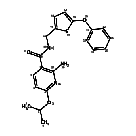 CC(C)Oc1ccc(C(=O)NCc2ccc(Oc3ccccc3)s2)c(N)n1